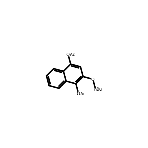 CCCCOc1cc(OC(C)=O)c2ccccc2c1OC(C)=O